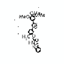 COc1cc(C2=NOC(c3ccc(C)c(OCC(=O)Nc4nc5ccccc5s4)c3)C2)cc(OC)c1OC